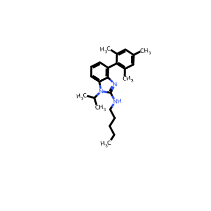 CCCCCNc1nc2c(-c3c(C)cc(C)cc3C)cccc2n1C(C)C